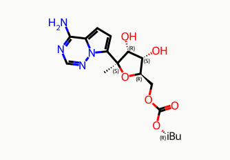 CC[C@@H](C)OC(=O)OC[C@H]1O[C@@](C)(c2ccc3c(N)ncnn23)[C@H](O)[C@@H]1O